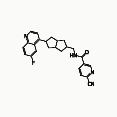 N#Cc1ccc(C(=O)NCC2CC3CC(c4ccnc5ccc(F)cc45)CC3C2)cn1